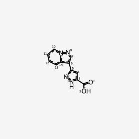 O=C(O)c1cc(-c2cnn3ccccc23)n[nH]1